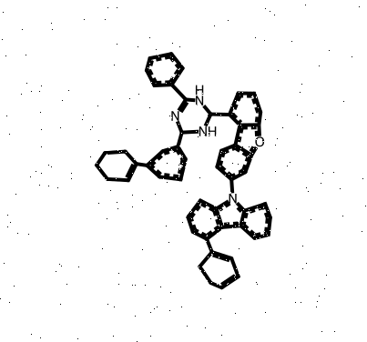 C1=CCCC(c2cccc3c2c2ccccc2n3-c2ccc3c(c2)oc2cccc(C4NC(c5ccccc5)=NC(c5cccc(C6=CCCCC6)c5)N4)c23)=C1